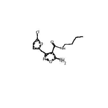 CCCCNC(=O)c1c(-c2ccc(Cl)o2)noc1N